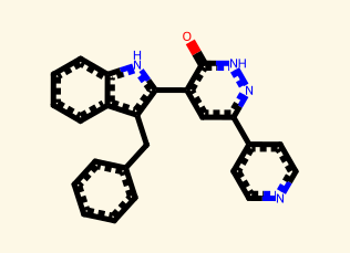 O=c1[nH]nc(-c2ccncc2)cc1-c1[nH]c2ccccc2c1Cc1ccccc1